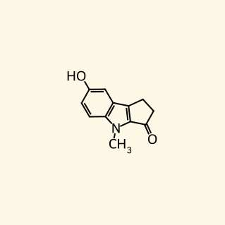 Cn1c2c(c3cc(O)ccc31)CCC2=O